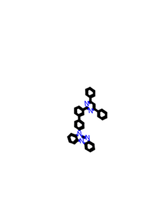 c1ccc(-c2cc(-c3ccccc3)nc(-c3cccc(-c4ccc(-n5c6ccccc6n6c7ccccc7nc56)cc4)c3)n2)cc1